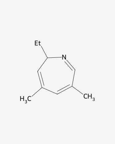 CCC1C=C(C)C=C(C)C=N1